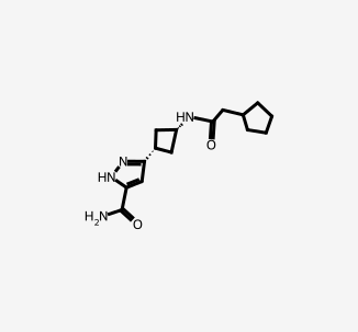 NC(=O)c1cc([C@H]2C[C@@H](NC(=O)CC3CCCC3)C2)n[nH]1